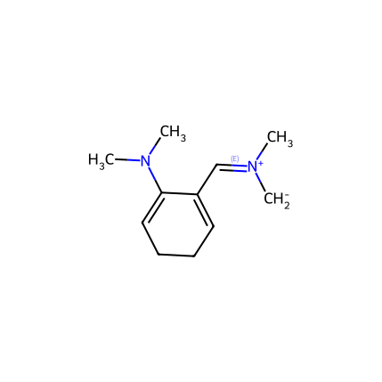 [CH2-]/[N+](C)=C\C1=CCCC=C1N(C)C